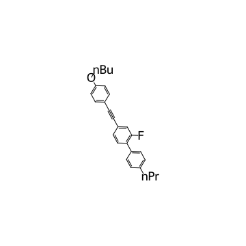 CCCCOc1ccc(C#Cc2ccc(-c3ccc(CCC)cc3)c(F)c2)cc1